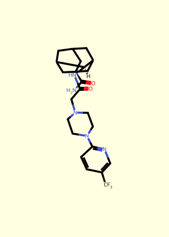 NC(=O)[C@]12CC3CC(C1)[C@H](NC(=O)CN1CCN(c4ccc(C(F)(F)F)cn4)CC1)C(C3)C2